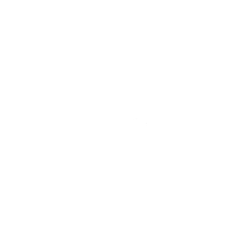 Cc1[c]cc(Cl)c(C(F)(F)F)c1